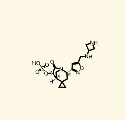 O=C1N2C[C@H](N1OS(=O)(=O)O)C1(CC1)C[C@H]2c1cc(CNC2CNC2)on1